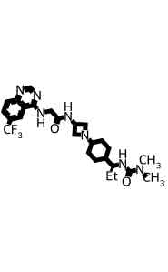 CC[C@H](NC(=O)N(C)C)C1CCC(N2CC(NC(=O)CNc3ncnc4ccc(C(F)(F)F)cc34)C2)CC1